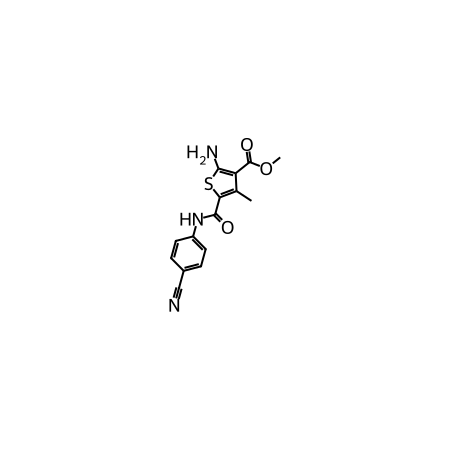 COC(=O)c1c(N)sc(C(=O)Nc2ccc(C#N)cc2)c1C